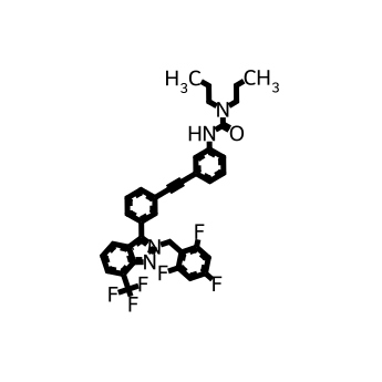 CCCN(CCC)C(=O)Nc1cccc(C#Cc2cccc(-c3c4cccc(C(F)(F)F)c4nn3Cc3c(F)cc(F)cc3F)c2)c1